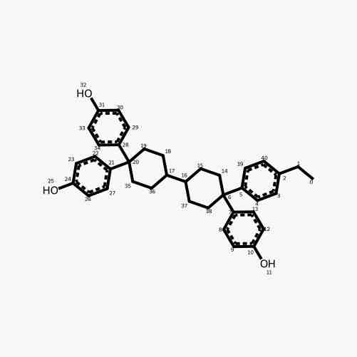 CCc1ccc(C2(c3ccc(O)cc3)CCC(C3CCC(c4ccc(O)cc4)(c4ccc(O)cc4)CC3)CC2)cc1